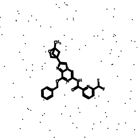 CC12CC(c3cn4cc(NC(=O)c5cccc(C(F)F)n5)nc(OCc5ccccc5)c4n3)(CO1)C2